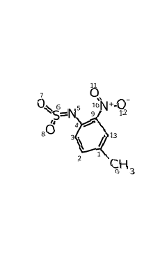 Cc1ccc(N=S(=O)=O)c([N+](=O)[O-])c1